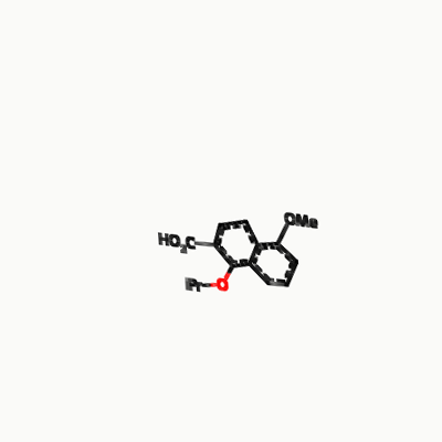 COc1cccc2c(OC(C)C)c(C(=O)O)ccc12